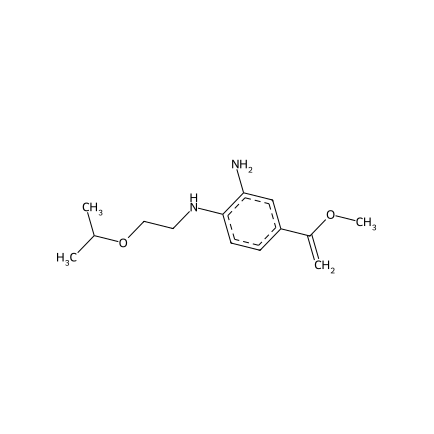 C=C(OC)c1ccc(NCCOC(C)C)c(N)c1